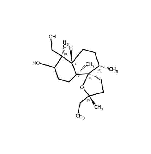 CC[C@@]1(C)CC[C@@]2(O1)[C@@H](C)CC[C@@H]1[C@]2(C)CCC(O)[C@@]1(C)CO